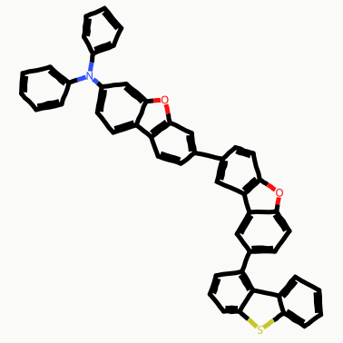 c1ccc(N(c2ccccc2)c2ccc3c(c2)oc2cc(-c4ccc5oc6ccc(-c7cccc8sc9ccccc9c78)cc6c5c4)ccc23)cc1